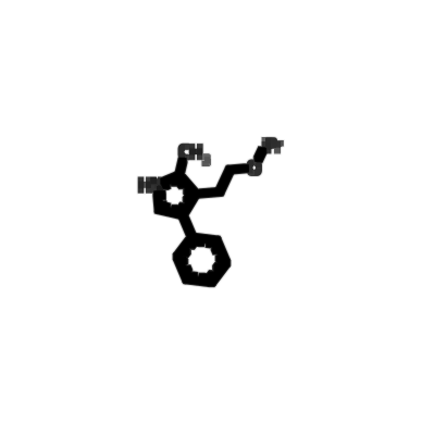 Cc1[nH]cc(-c2ccccc2)c1CCOC(C)C